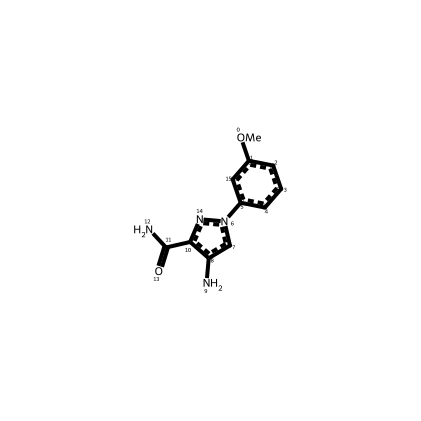 COc1cccc(-n2cc(N)c(C(N)=O)n2)c1